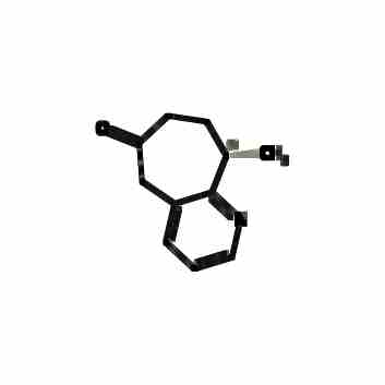 C[C@H]1CCC(=O)Cc2cccnc21